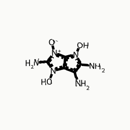 Nc1c(N)n(O)c2c1n(O)c(N)[n+]2[O-]